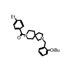 CCc1ccc(C(=O)N2CCC3(CCN(Cc4ccccc4OCC(C)C)C3)CC2)cc1